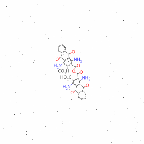 Nc1c(C(=O)O)c(C(=O)OC(=O)c2c(N)c3c(c(N)c2C(=O)O)C(=O)c2ccccc2C3=O)c(N)c2c1C(=O)c1ccccc1C2=O